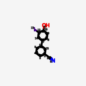 N#Cc1cccc(-c2ccc(O)c(I)c2)c1